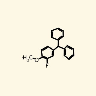 [CH2]Oc1ccc(C(c2ccccc2)c2ccccc2)cc1F